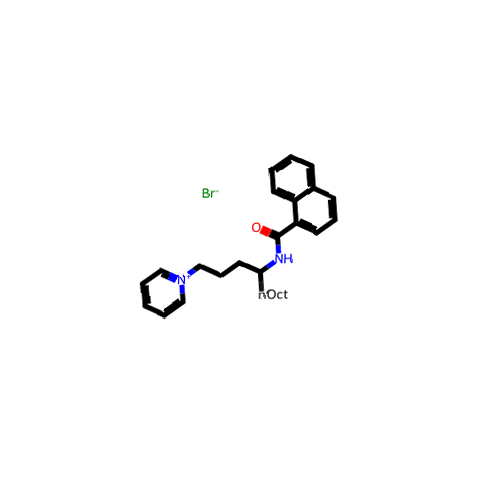 CCCCCCCCC(CCC[n+]1ccccc1)NC(=O)c1cccc2ccccc12.[Br-]